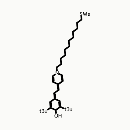 CSCCCCCCCCCCCCN1C=CC(=CC=C2C=C(C(C)(C)C)C(O)C(C(C)(C)C)=C2)C=C1